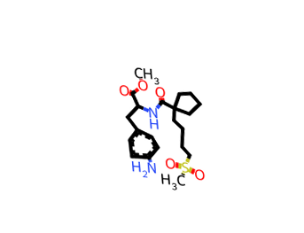 COC(=O)C(Cc1ccc(N)cc1)NC(=O)C1(CCCCS(C)(=O)=O)CCCC1